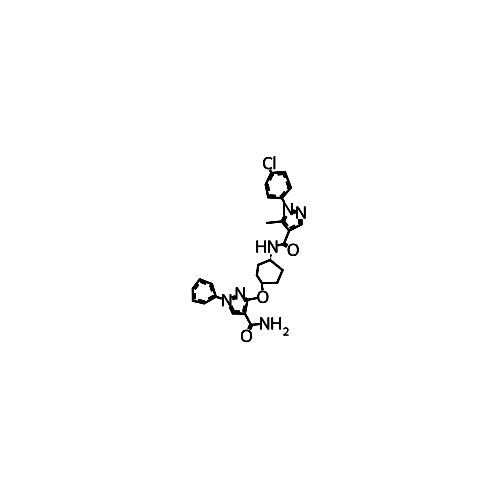 Cc1c(C(=O)N[C@H]2CC[C@H](Oc3nn(-c4ccccc4)cc3C(N)=O)CC2)cnn1-c1ccc(Cl)cc1